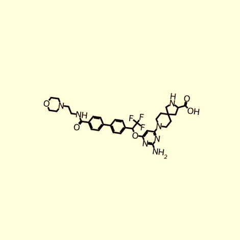 Nc1nc(OC(c2ccc(-c3ccc(C(=O)NCCN4CCOCC4)cc3)cc2)C(F)(F)F)cc(N2CCC3(CC2)CNC(C(=O)O)C3)n1